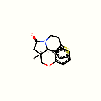 O=C1C[C@H]2COc3ccccc3[C@]23c2ccsc2CCN13